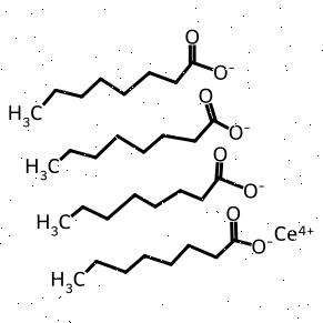 CCCCCCCC(=O)[O-].CCCCCCCC(=O)[O-].CCCCCCCC(=O)[O-].CCCCCCCC(=O)[O-].[Ce+4]